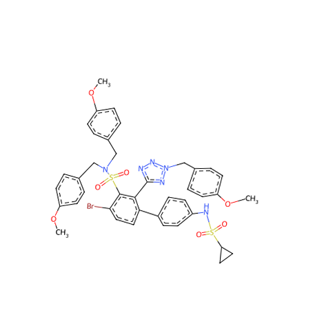 COc1ccc(CN(Cc2ccc(OC)cc2)S(=O)(=O)c2c(Br)ccc(-c3ccc(NS(=O)(=O)C4CC4)cc3)c2-c2nnn(Cc3ccc(OC)cc3)n2)cc1